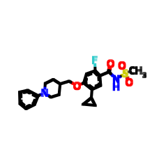 CS(=O)(=O)NC(=O)c1cc(C2CC2)c(OCC2CCN(c3ccccc3)CC2)cc1F